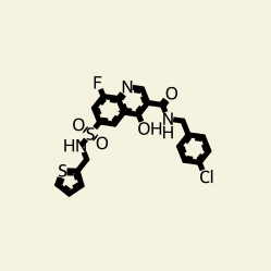 O=C(NCc1ccc(Cl)cc1)c1cnc2c(F)cc(S(=O)(=O)NCc3cccs3)cc2c1O